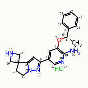 C[C@H](Oc1cc(-c2cc3n(n2)CCC32CNC2)cnc1N)c1ccccc1.Cl